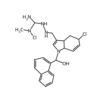 CN(Cl)C(N)NNCC1=CN(C(O)c2cccc3ccccc23)C2C=CC(Cl)CC12